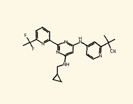 CC(F)(F)c1cccc(-c2nc(NCC3CC3)cc(Nc3ccnc(C(C)(C)C#N)c3)n2)n1